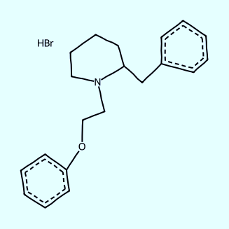 Br.c1ccc(CC2CCCCN2CCOc2ccccc2)cc1